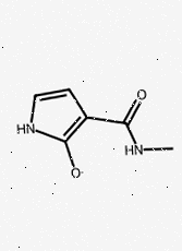 CNC(=O)c1cc[nH]c1[O]